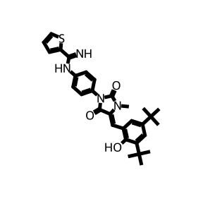 CN1C(=O)N(c2ccc(NC(=N)c3cccs3)cc2)C(=O)/C1=C/c1cc(C(C)(C)C)cc(C(C)(C)C)c1O